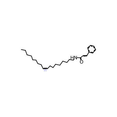 CCCCCCCC/C=C\CCCCCCCCNC(=O)C=Cc1ccccc1